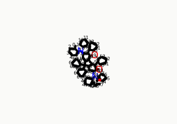 Cc1ccccc1N(c1ccccc1)c1cc2c(c3oc4ccccc4c13)-c1c(cc(N(c3ccccc3)c3ccccc3[Si](C)(C)C)c3oc4ccccc4c13)C2(c1ccccc1)c1ccccc1